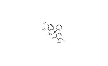 CC(c1ccccc1)(c1ccc(O)c(O)c1O)c1ccc(O)c(O)c1O